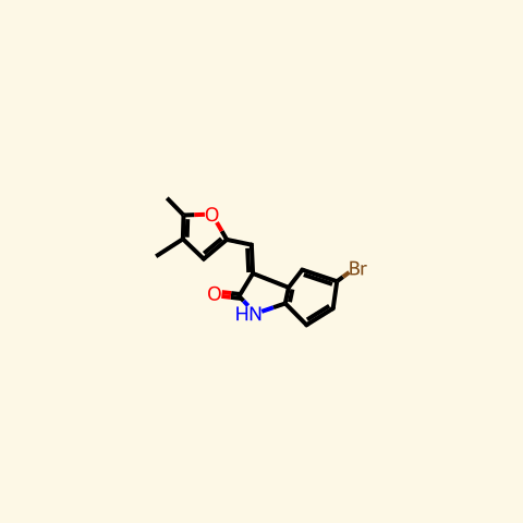 Cc1cc(C=C2C(=O)Nc3ccc(Br)cc32)oc1C